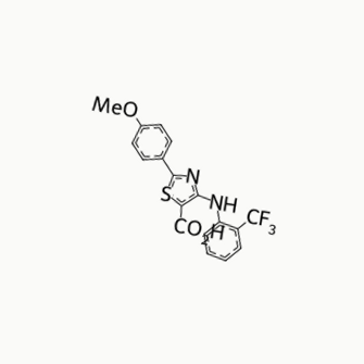 COc1ccc(-c2nc(Nc3ccccc3C(F)(F)F)c(C(=O)O)s2)cc1